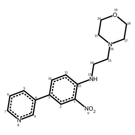 O=[N+]([O-])c1cc(-c2cccnc2)ccc1NCCN1CCOCC1